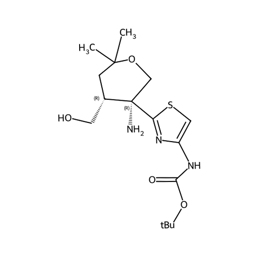 CC(C)(C)OC(=O)Nc1csc([C@]2(N)COC(C)(C)C[C@H]2CO)n1